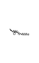 CC#CCNC(=O)CCSSCCNC